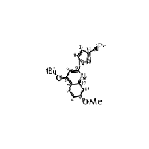 COc1ccc2c(OC(C)(C)C)cc(-n3ccc(C(C)C)n3)nc2c1